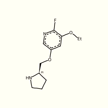 CCOc1cc(OC[C@H]2CCCN2)cnc1F